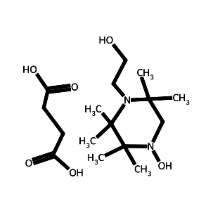 CC1(C)CN(O)C(C)(C)C(C)(C)N1CCO.O=C(O)CCC(=O)O